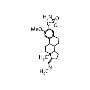 C=NC=C1CCC2C3CCc4cc(OS(N)(=O)=O)c(OC)cc4C3CCC12C